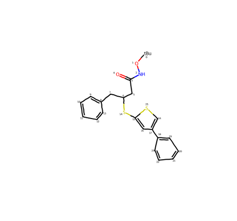 CC(C)(C)ONC(=O)CC(Cc1ccccc1)Sc1cc(-c2ccccc2)cs1